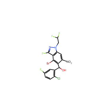 O=[N+]([O-])c1cc2c(c(F)nn2CC(F)F)c(Br)c1C(O)c1cc(F)ccc1Cl